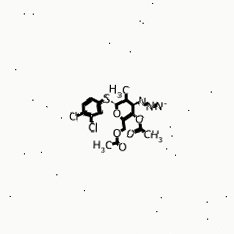 CC(=O)OCC1O[C@H](Sc2ccc(Cl)c(Cl)c2)C(C)[C@@H](N=[N+]=[N-])[C@H]1OC(C)=O